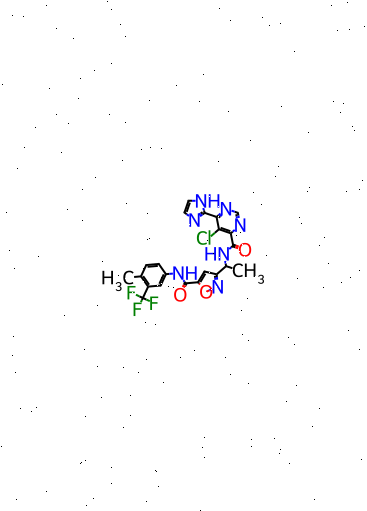 Cc1ccc(NC(=O)c2cc(C(C)NC(=O)c3ncnc(-c4ncc[nH]4)c3Cl)no2)cc1C(F)(F)F